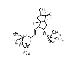 C=C1C[C@H]2[C@H](/C=C/[C@H](C[C@@H](C)CCCC)O[Si](C)(C)C(C)(C)C)[C@H](O[Si](C)(C)C(C)(C)C)C[C@@H]2C1=O